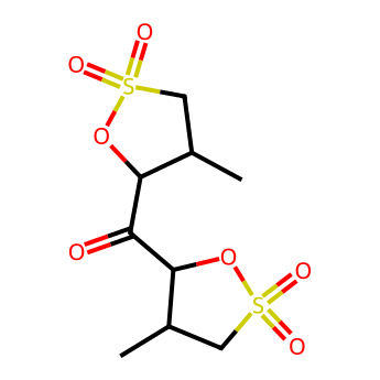 CC1CS(=O)(=O)OC1C(=O)C1OS(=O)(=O)CC1C